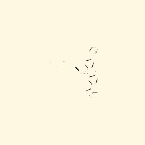 Cc1ccc(-c2c(C)noc2C)cc1N(CC#CCOCC(=O)O)c1ccc(-n2ccnc2)cc1